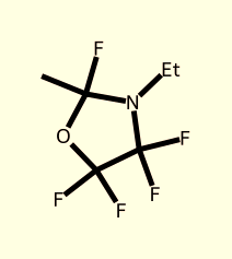 CCN1C(C)(F)OC(F)(F)C1(F)F